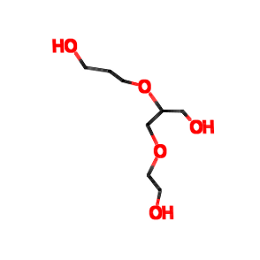 OCCCOC(CO)COCCO